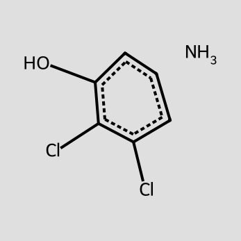 N.Oc1cccc(Cl)c1Cl